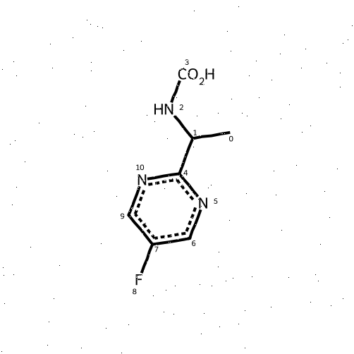 CC(NC(=O)O)c1ncc(F)cn1